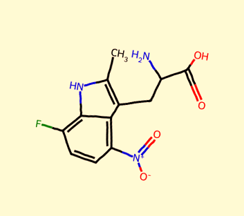 Cc1[nH]c2c(F)ccc([N+](=O)[O-])c2c1CC(N)C(=O)O